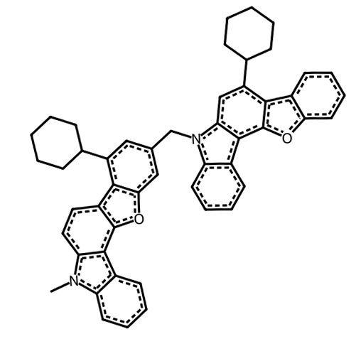 Cn1c2ccccc2c2c3oc4cc(Cn5c6ccccc6c6c7oc8ccccc8c7c(C7CCCCC7)cc65)cc(C5CCCCC5)c4c3ccc21